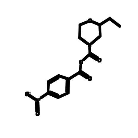 C[CH]C1CN(C(=O)OC(=O)c2ccc([N+](=O)[O-])cc2)CCO1